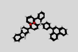 c1ccc(-c2ccccc2N(c2ccc(-c3cnc4c(c3)oc3ccccc34)cc2)c2ccc(-c3cc4ccccc4c4ccccc34)cc2)cc1